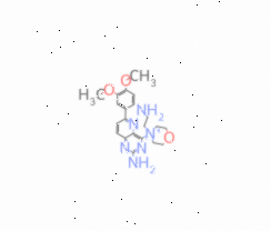 COc1ccc(-c2ccc3nc(N)nc([N+]4(CCN)CCOCC4)c3n2)cc1OC